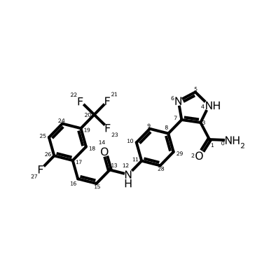 NC(=O)c1[nH]cnc1-c1ccc(NC(=O)/C=C\c2cc(C(F)(F)F)ccc2F)cc1